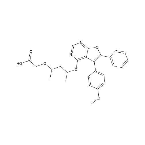 COc1ccc(-c2c(-c3ccccc3)oc3ncnc(OC(C)CC(I)OCC(=O)O)c23)cc1